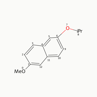 COc1ccc2cc(OC(C)C)ccc2c1